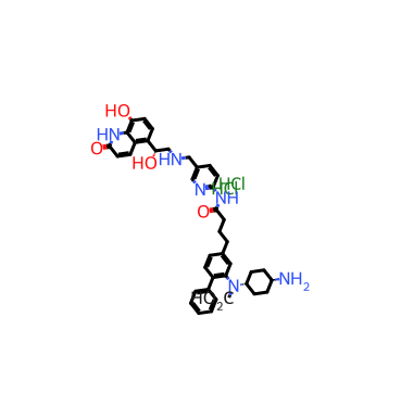 Cl.Cl.N[C@H]1CC[C@H](N(C(=O)O)c2cc(CCCC(=O)Nc3ccc(CNC[C@H](O)c4ccc(O)c5[nH]c(=O)ccc45)cn3)ccc2-c2ccccc2)CC1